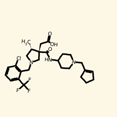 C[C@H]1CN(Cc2c(Cl)cccc2C(F)(F)F)C[C@@]1(CC(=O)O)C(=O)NC1CCN(CC2=CCCC2)CC1